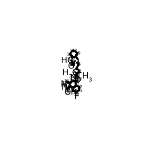 CC(C)(CCCN(Cc1ccccc1)C(=O)O)c1nc2c3cnnc(O)c3c3cc(F)ccc3c2o1